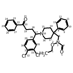 CCON(C=O)CC1(c2ccccc2)CCN(C(CCC(=O)c2ccccc2)c2ccc(Cl)c(Cl)c2)CC1